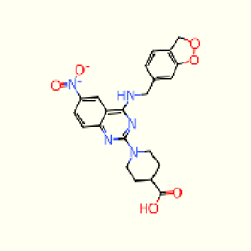 O=C(O)C1CCN(c2nc(NCc3ccc4c(c3)OOC4)c3cc([N+](=O)[O-])ccc3n2)CC1